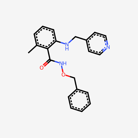 Cc1cccc(NCc2ccncc2)c1C(=O)NOCc1ccccc1